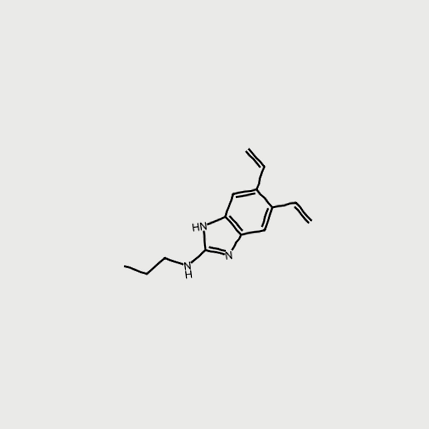 C=Cc1cc2nc(NCCC)[nH]c2cc1C=C